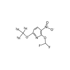 [2H]C([2H])([2H])Oc1ccc([N+](=O)[O-])c(OC(F)F)n1